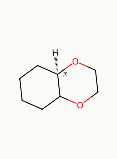 C1CC[C@H]2OCCOC2C1